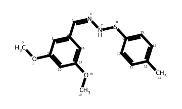 COc1cc(/C=N\NSc2ccc(C)cc2)cc(OC)c1